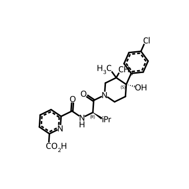 CC(C)[C@@H](NC(=O)c1cccc(C(=O)O)n1)C(=O)N1CC[C@](O)(c2ccc(Cl)cc2)C(C)(C)C1